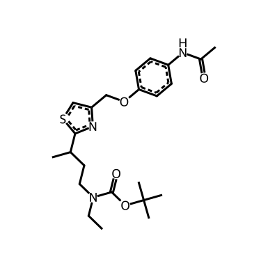 CCN(CCC(C)c1nc(COc2ccc(NC(C)=O)cc2)cs1)C(=O)OC(C)(C)C